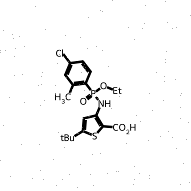 CCOP(=O)(Nc1cc(C(C)(C)C)sc1C(=O)O)c1ccc(Cl)cc1C